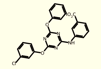 O=C(O)c1cccc(Nc2nc(Oc3ccccc3)nc(Oc3cccc(Cl)c3)n2)c1